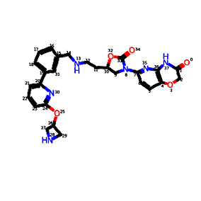 O=C1COc2ccc(N3CC(CCNCc4cccc(-c5cccc(OC6CNC6)n5)c4)OC3=O)nc2N1